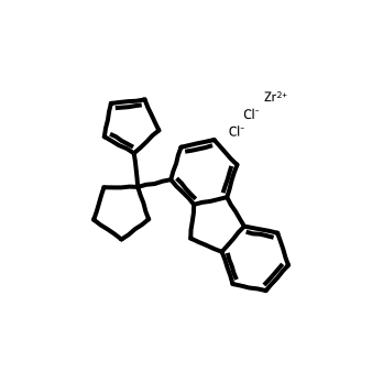 C1=CCC(C2(c3cccc4c3Cc3ccccc3-4)CCCC2)=C1.[Cl-].[Cl-].[Zr+2]